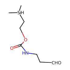 C[SiH](C)CCOC(=O)NCCC=O